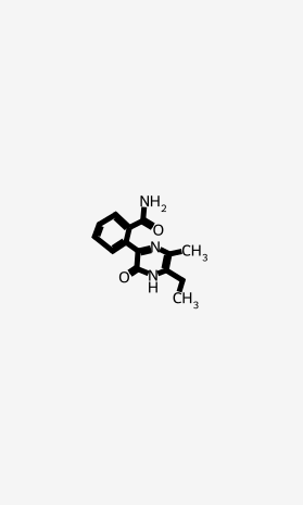 CCc1[nH]c(=O)c(-c2ccccc2C(N)=O)nc1C